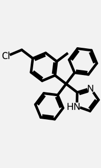 Cc1cc(CCl)ccc1C(c1ccccc1)(c1ccccc1)c1ncc[nH]1